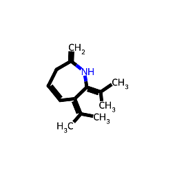 C=C1CC=CC(=C(C)C)C(=C(C)C)N1